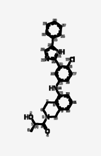 C[C@@H](O)C(=O)N1CCc2c(cccc2Nc2ccc(Cl)c(-c3ncc(-c4ccccc4)[nH]3)c2)C1